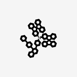 c1ccc(-c2ccc(-c3c(-c4ccc(N(c5ccc6c(c5)C5(c7ccccc7-c7ccccc75)c5ccccc5-6)c5ccc6c(c5)C5(c7ccccc7-c7ccccc75)c5ccccc5-6)cc4)ccc4ccccc34)cc2)cc1